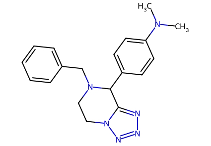 CN(C)c1ccc(C2c3nnnn3CCN2Cc2ccccc2)cc1